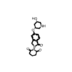 O=C1c2ccc(O[C@H]3CNC[C@@H](O)C3)cc2CN1N1C(=O)CCCC1=O